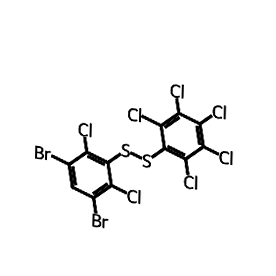 Clc1c(Cl)c(Cl)c(SSc2c(Cl)c(Br)cc(Br)c2Cl)c(Cl)c1Cl